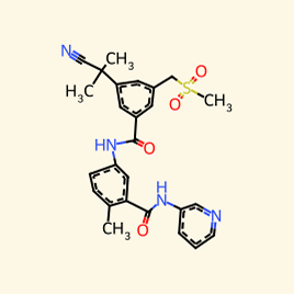 Cc1ccc(NC(=O)c2cc(CS(C)(=O)=O)cc(C(C)(C)C#N)c2)cc1C(=O)Nc1cccnc1